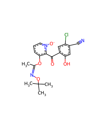 C/C(=N/OC(C)(C)C)Oc1ccc[n+]([O-])c1C(=O)c1cc(Cl)c(C#N)cc1O